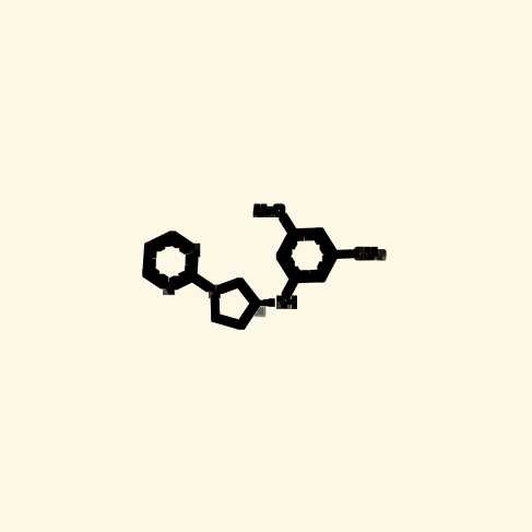 COc1cc(N[C@@H]2CCN(c3ncccn3)C2)cc(OC)c1